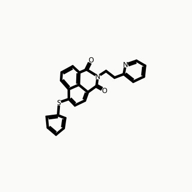 O=C1c2cccc3c(Sc4ccccc4)ccc(c23)C(=O)N1CCc1ccccn1